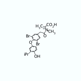 CC(C)c1cc(Oc2c(Br)cc(CC(=O)N(C)[C@@H](C)C(=O)O)cc2Br)ccc1O